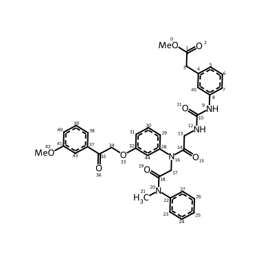 COC(=O)Cc1cccc(NC(=O)NCC(=O)N(CC(=O)N(C)c2ccccc2)c2cccc(OCC(=O)c3cccc(OC)c3)c2)c1